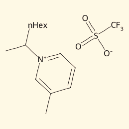 CCCCCCC(C)[n+]1cccc(C)c1.O=S(=O)([O-])C(F)(F)F